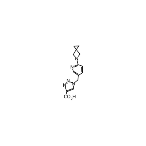 O=C(O)c1cn(Cc2ccc(N3CC4(CC4)C3)nc2)nn1